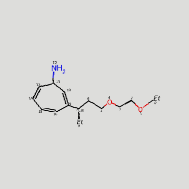 CCOCCOCC[C@@H](CC)C1=CC(N)C=CC=C1